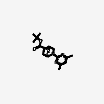 Cc1cc(C)nc(N2CC3CCC2CN3C(=O)OC(C)(C)C)n1